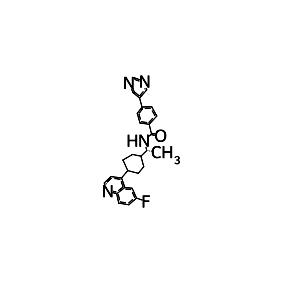 C[C@@H](NC(=O)c1ccc(-c2cncnc2)cc1)C1CCC(c2ccnc3ccc(F)cc23)CC1